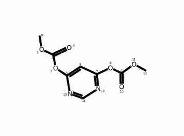 COC(=O)Oc1cc(OC(=O)OC)ncn1